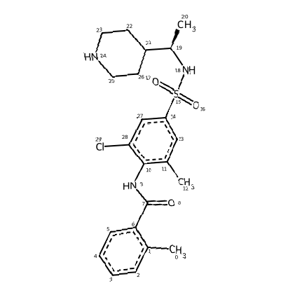 Cc1ccccc1C(=O)Nc1c(C)cc(S(=O)(=O)N[C@H](C)C2CCNCC2)cc1Cl